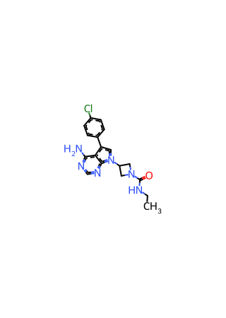 CCNC(=O)N1CC(n2cc(-c3ccc(Cl)cc3)c3c(N)ncnc32)C1